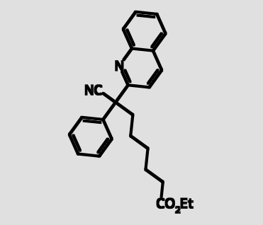 CCOC(=O)CCCCCC(C#N)(c1ccccc1)c1ccc2ccccc2n1